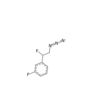 [N-]=[N+]=NCC(F)c1cccc(F)c1